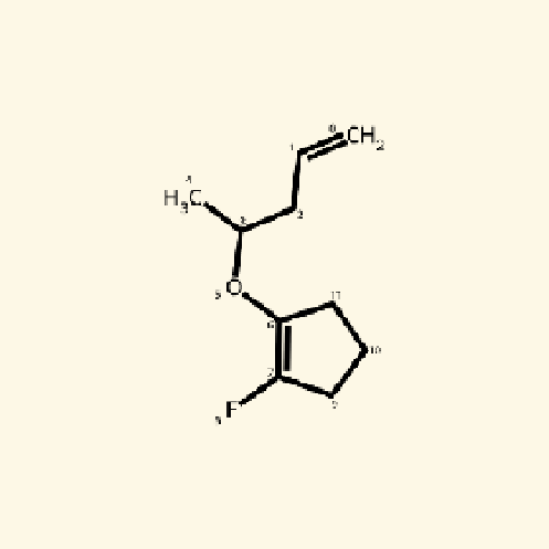 C=CCC(C)OC1=C(F)CCC1